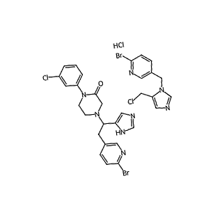 Cl.ClCc1cncn1Cc1ccc(Br)nc1.O=C1CN(C(Cc2ccc(Br)nc2)c2cnc[nH]2)CCN1c1cccc(Cl)c1